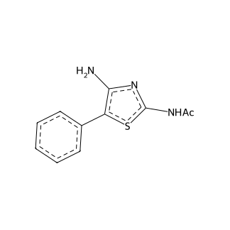 CC(=O)Nc1nc(N)c(-c2ccccc2)s1